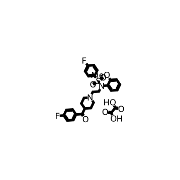 COc1ccccc1N(CCN1CCC(C(=O)c2ccc(F)cc2)CC1)S(=O)(=O)c1ccc(F)cc1.O=C(O)C(=O)O